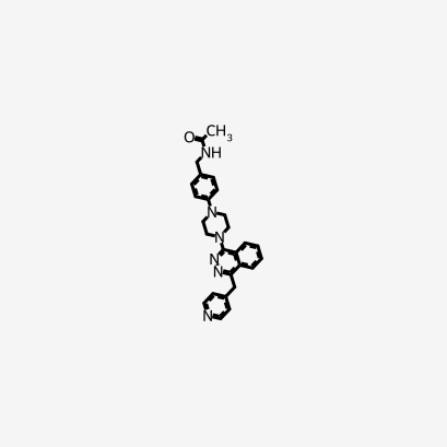 CC(=O)NCc1ccc(N2CCN(c3nnc(Cc4ccncc4)c4ccccc34)CC2)cc1